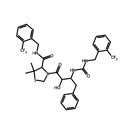 CC1(C)SCN(C(=O)C(O)C(Cc2ccccc2)NC(=O)NCc2ccccc2C(F)(F)F)C1C(=O)NCc1ccccc1C(F)(F)F